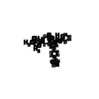 CC(C)(C)CC(=O)N1CC[C@](CC(=O)NOC2CCCCO2)(c2ccc(-c3ccc(-c4cnco4)cc3)s2)S(=O)(=O)CC1